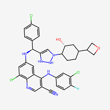 N#Cc1cnc2c(Cl)cc(N[C@H](C3=CN(C4CCC(C5COC5)C[C@H]4O)NN3)c3ccc(Cl)cc3)cc2c1Nc1ccc(F)c(Cl)c1